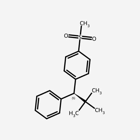 CC(C)(C)[C@@H](c1ccccc1)c1ccc(S(C)(=O)=O)cc1